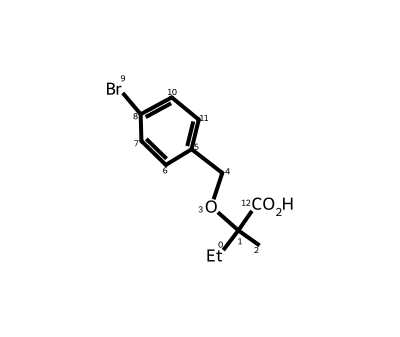 CCC(C)(OCc1ccc(Br)cc1)C(=O)O